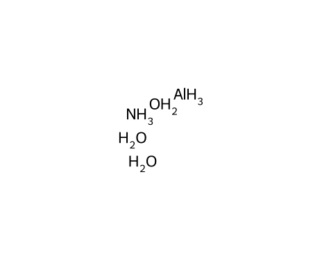 N.O.O.O.[AlH3]